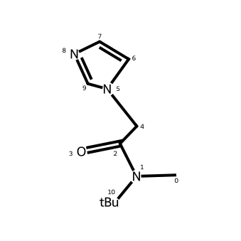 CN(C(=O)Cn1ccnc1)C(C)(C)C